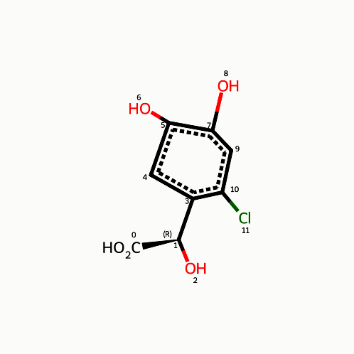 O=C(O)[C@H](O)c1cc(O)c(O)cc1Cl